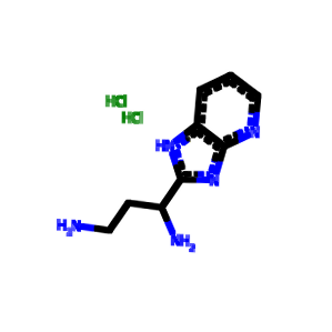 Cl.Cl.NCCC(N)c1nc2ncccc2[nH]1